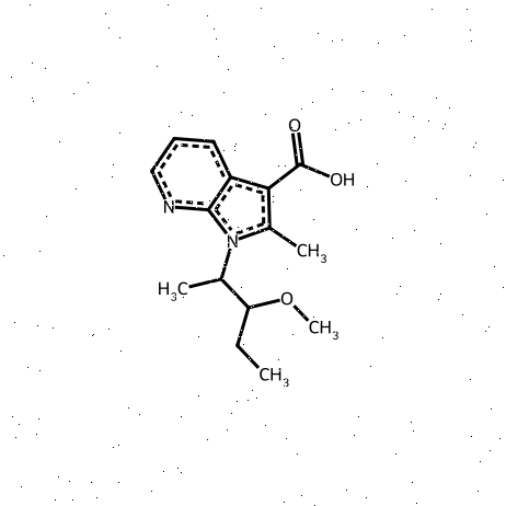 CCC(OC)C(C)n1c(C)c(C(=O)O)c2cccnc21